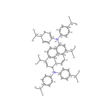 CC(C)C1=CC(N(c2ccc(C(C)C)cc2)c2ccc(C(C)C)cc2)C2C=Cc3c(C(C)C)cc(N(C4=CCC(C(C)C)C=C4)c4ccc(C(C)C)cc4)c4ccc1c2c34